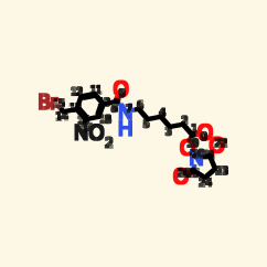 O=C(CCCCCNC(=O)c1ccc(CBr)c([N+](=O)[O-])c1)ON1C(=O)CCC1=O